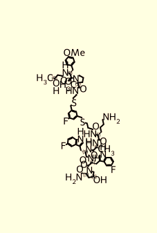 COc1ccc(C[C@H](NC(=O)C[C@H](C)O)C(=O)N2CCC[C@@]2(C)C(=O)NCCSCc2cc(F)cc(CSCCC(=O)N[C@@H](CCCCN)C(=O)N[C@H](C)C(=O)N[C@@H](Cc3c[nH]c4ccc(F)cc34)C(=O)N[C@@H](Cc3c[nH]c4ccc(F)cc34)C(=O)N3C[C@H](O)C[C@H]3C(N)=O)c2)cc1